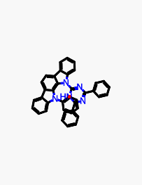 c1ccc(C2=NC(c3ccccc3)NC(n3c4ccccc4c4ccc5c6ccccc6n(-c6ccccc6)c5c43)=N2)cc1